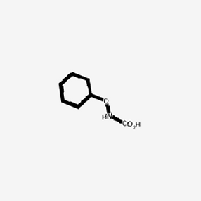 O=C(O)NOC1CCCCC1